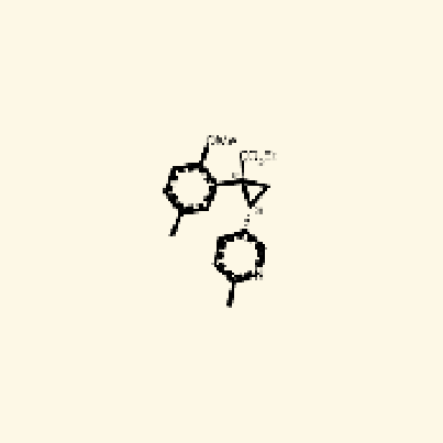 CCOC(=O)[C@@]1(c2cc(C)ccc2OC)C[C@@H]1c1ccc(C)nc1